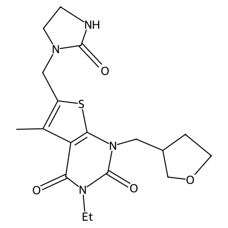 CCn1c(=O)c2c(C)c(CN3CCNC3=O)sc2n(CC2CCOC2)c1=O